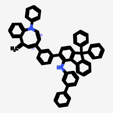 C=C1/C=C(c2cccc(-c3ccc4c(c3Nc3cccc(-c5ccccc5)c3)-c3ccccc3C4(c3ccccc3)c3ccccc3)c2)\C=C/N(c2ccccc2)c2ccccc21